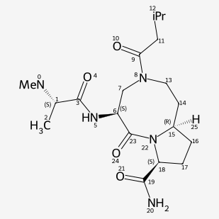 CN[C@@H](C)C(=O)N[C@H]1CN(C(=O)CC(C)C)CC[C@H]2CC[C@@H](C(N)=O)N2C1=O